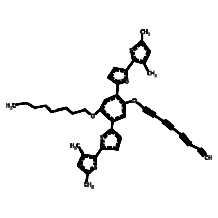 C#CC#CC#CC#COc1cc(-c2ccc(-c3sc(C)cc3C)s2)c(OCCCCCCCC)cc1-c1ccc(-c2sc(C)cc2C)s1